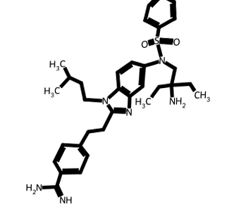 CCC(N)(CC)CN(c1ccc2c(c1)nc(CCc1ccc(C(=N)N)cc1)n2CCC(C)C)S(=O)(=O)c1ccccc1